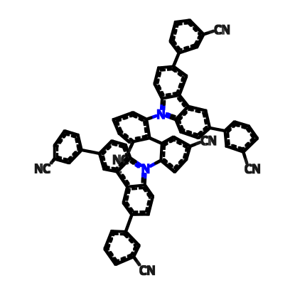 N#Cc1cccc(-c2ccc3c(c2)c2cc(-c4cccc(C#N)c4)ccc2n3-c2ccc(C#N)cc2-c2c(C#N)cccc2-n2c3ccc(-c4cccc(C#N)c4)cc3c3cc(-c4cccc(C#N)c4)ccc32)c1